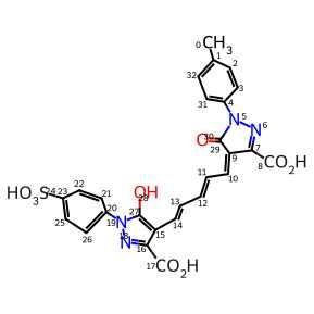 Cc1ccc(N2N=C(C(=O)O)/C(=C/C=C/C=C/c3c(C(=O)O)nn(-c4ccc(S(=O)(=O)O)cc4)c3O)C2=O)cc1